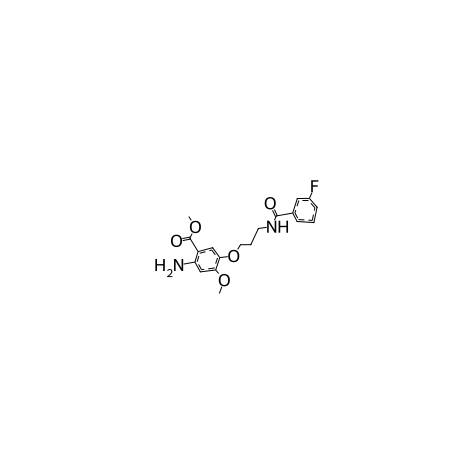 COC(=O)c1cc(OCCCNC(=O)c2cccc(F)c2)c(OC)cc1N